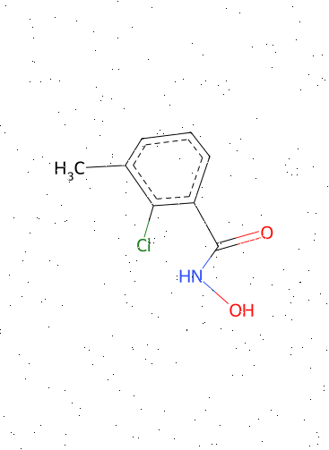 Cc1cccc(C(=O)NO)c1Cl